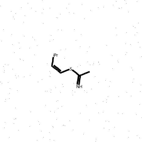 CC(=N)S/C=C\C(C)C